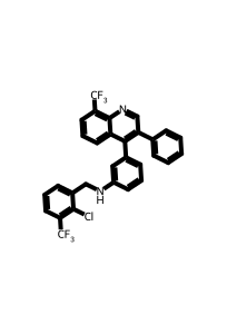 FC(F)(F)c1cccc(CNc2cccc(-c3c(-c4ccccc4)cnc4c(C(F)(F)F)cccc34)c2)c1Cl